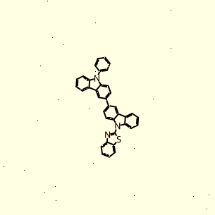 c1ccc(-n2c3ccccc3c3cc(-c4ccc5c(c4)c4ccccc4n5-c4nc5ccccc5s4)ccc32)cc1